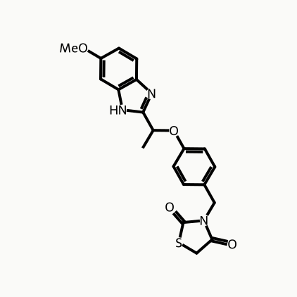 COc1ccc2nc(C(C)Oc3ccc(CN4C(=O)CSC4=O)cc3)[nH]c2c1